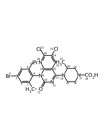 Cc1cc(Br)cc(C(C)C)c1-n1c(=O)nc(N2CCN(C(=O)O)CC2C)c2cc(Cl)c(Cl)nc21